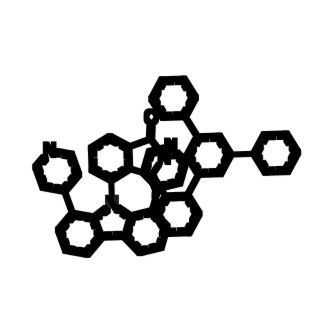 O=C1c2cccc(-n3c4c(-c5ccncc5)cccc4c4cccc(-c5ccncc5)c43)c2C(=O)N1c1c(-c2ccccc2)cc(-c2ccccc2)cc1-c1ccccc1